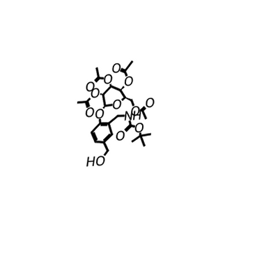 CC(=O)OC[C@H]1O[C@@H](Oc2ccc(CO)cc2CNC(=O)OC(C)(C)C)[C@H](OC(C)=O)[C@@H](OC(C)=O)[C@H]1OC(C)=O